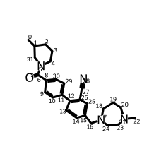 CC1CCCN(C(=O)c2ccc(-c3ccc(CN4CCCN(C)CC4)cc3C#N)cc2)C1